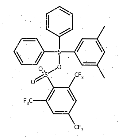 Cc1cc(C)cc(S(OS(=O)(=O)c2c(C(F)(F)F)cc(C(F)(F)F)cc2C(F)(F)F)(c2ccccc2)c2ccccc2)c1